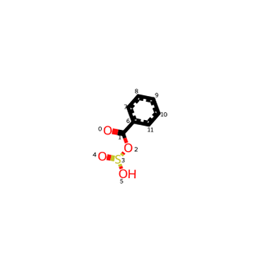 O=C(OS(=O)O)c1ccccc1